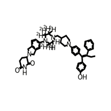 [2H]C1([2H])N(CC2CCN(c3ccc(C(=C(CC)c4ccccc4)c4ccc(O)cc4)cc3)CC2)C([2H])([2H])C([2H])([2H])N(c2ccc3c(c2)CN(C2CCC(=O)NC2=O)C3)C1([2H])[2H]